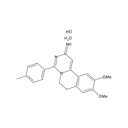 COc1cc2c(cc1OC)-c1cc(=N)nc(-c3ccc(C)cc3)n1CC2.Cl.O